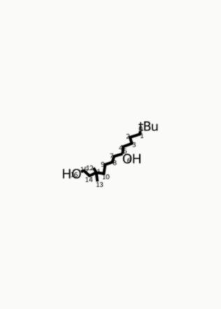 CC(C)(C)CCCCC(O)CCCCC(C)(C)CCO